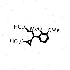 COc1cccc(C(CCC(=O)O)C2CC2C(=O)O)c1OC